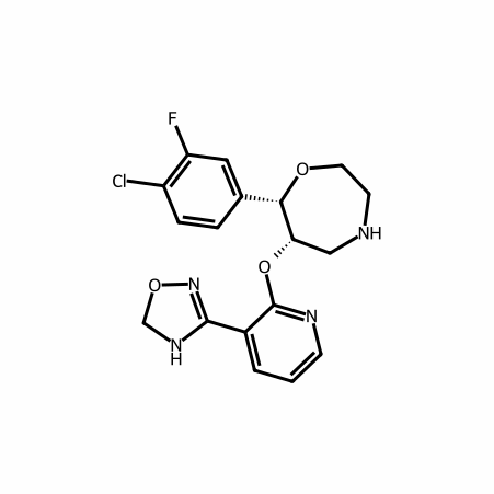 Fc1cc([C@@H]2OCCNC[C@@H]2Oc2ncccc2C2=NOCN2)ccc1Cl